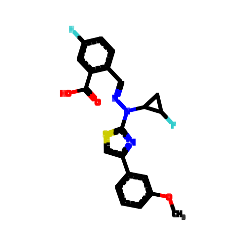 COc1cccc(-c2csc(N(/N=C/c3ccc(F)cc3C(=O)O)C3CC3F)n2)c1